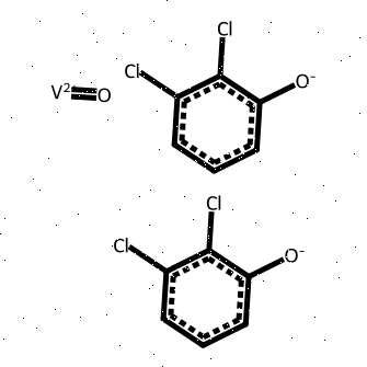 [O-]c1cccc(Cl)c1Cl.[O-]c1cccc(Cl)c1Cl.[O]=[V+2]